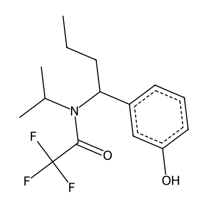 CCCC(c1cccc(O)c1)N(C(=O)C(F)(F)F)C(C)C